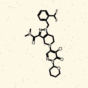 CN(C)C(=O)c1nn(Cc2ccccc2C(F)F)c2c1CN(c1cnn(C3CCCCO3)c(=O)c1Cl)CC2